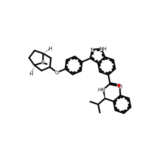 CC(C)[C@@H](NC(=O)c1ccc2[nH]nc(-c3ccc(OC4C[C@H]5CC[C@@H](C4)N5C)cc3)c2c1)c1ccccc1Cl